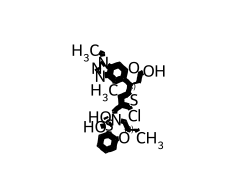 CC[C@@H]1CN(Cc2cc([C@H](CC(=O)O)c3ccc4c(nnn4CC)c3C)sc2Cl)S(O)(O)c2ccccc2O1